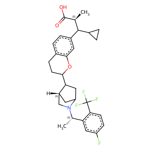 C[C@H](C(=O)O)C(c1ccc2c(c1)OC(C1CC3C[C@@H]1CN3[C@@H](C)c1cc(F)ccc1C(F)(F)F)CC2)C1CC1